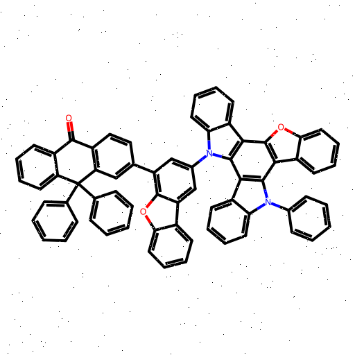 O=C1c2ccccc2C(c2ccccc2)(c2ccccc2)c2cc(-c3cc(-n4c5ccccc5c5c6oc7ccccc7c6c6c(c7ccccc7n6-c6ccccc6)c54)cc4c3oc3ccccc34)ccc21